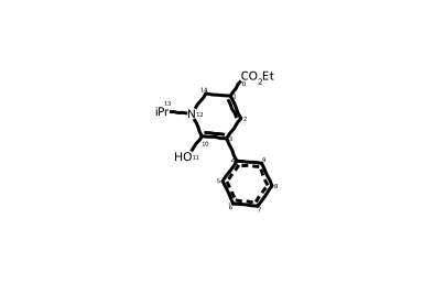 CCOC(=O)C1=CC(c2c[c]ccc2)=C(O)N(C(C)C)C1